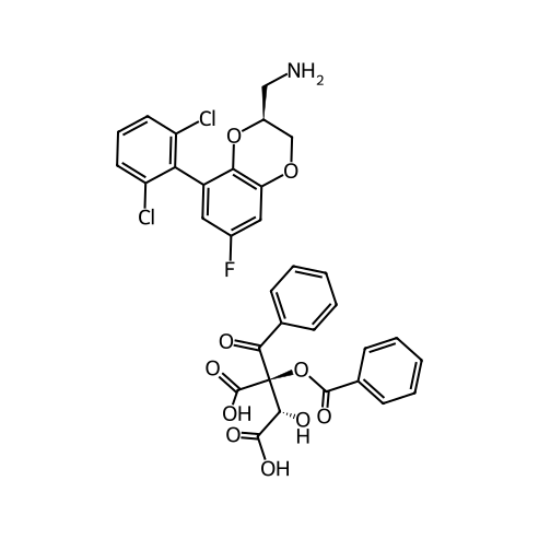 NC[C@H]1COc2cc(F)cc(-c3c(Cl)cccc3Cl)c2O1.O=C(O[C@@](C(=O)O)(C(=O)c1ccccc1)[C@H](O)C(=O)O)c1ccccc1